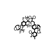 COc1cc(C)n(C)c(=O)c1-c1ccc(CC(NC(=O)c2c(F)cc(N3CCOC[C@@H]3C(F)(F)F)cc2F)C(=O)O)n2ccnc12